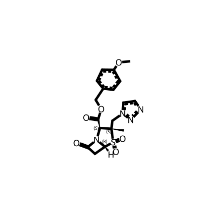 COc1ccc(COC(=O)[C@@H]2N3C(=O)C[C@H]3S(=O)(=O)[C@@]2(C)Cn2ccnn2)cc1